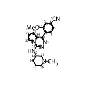 COc1cc(C#N)ccc1-c1nnc(N[C@@H]2CCCN(C)C2)n2cccc12